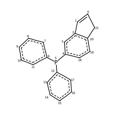 C1=Cc2cc(P(c3ccccc3)c3ccccc3)ccc2C1